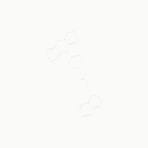 OC(COc1cccc2ncccc12)CN1CCN(C2c3ccccc3Cc3ccccc32)CC1